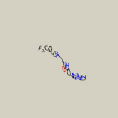 O=C(NCCCCN1CCC(Cc2cccc(C(F)(F)F)c2)CC1)c1ccc(-c2cn3cccnc3n2)cc1